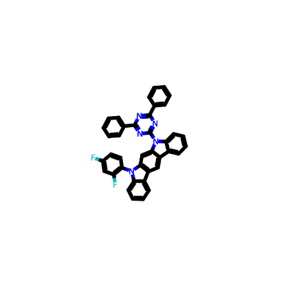 Fc1ccc(-n2c3ccccc3c3cc4c5ccccc5n(-c5nc(-c6ccccc6)nc(-c6ccccc6)n5)c4cc32)c(F)c1